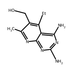 CCc1c(CO)c(C)nc2nc(N)nc(N)c12